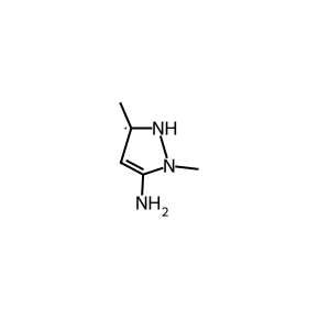 C[C]1C=C(N)N(C)N1